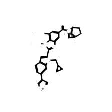 COc1cc(C(=O)N2C[C@H]3CC[C@@H]2[C@@H]3N)cc2nc(-c3cc4ccc(-c5cn[nH]c5)cc4n3CC3CC3)n(C)c12